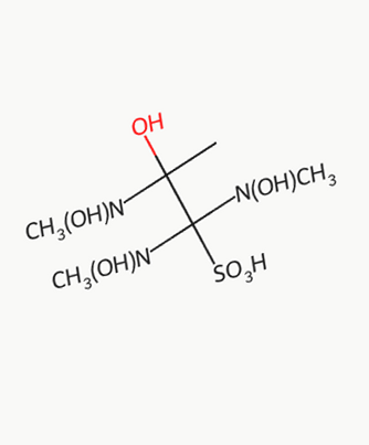 CN(O)C(C)(O)C(N(C)O)(N(C)O)S(=O)(=O)O